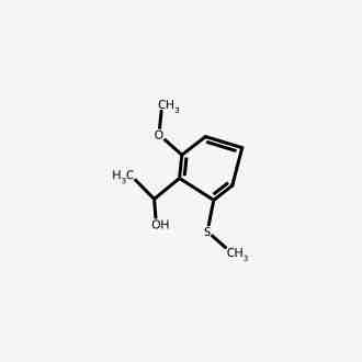 COc1cccc(SC)c1C(C)O